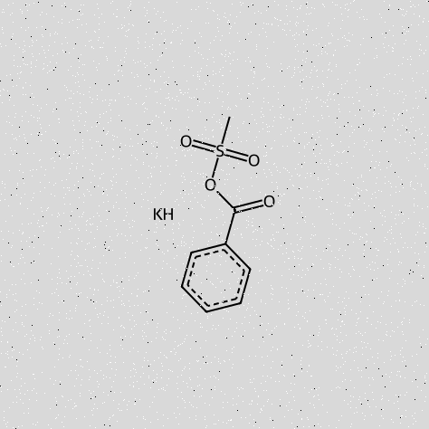 CS(=O)(=O)OC(=O)c1ccccc1.[KH]